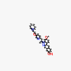 COc1ccc(C2CCc3cc(O)ccc3C2)c(NC(C)Cc2ccc(OCCN3CCCCCC3)cn2)c1